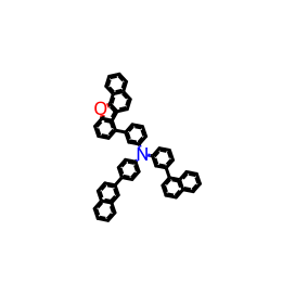 c1cc(-c2cccc3ccccc23)cc(N(c2ccc(-c3ccc4ccccc4c3)cc2)c2cccc(-c3cccc4oc5c6ccccc6ccc5c34)c2)c1